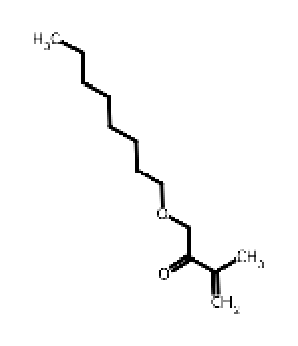 C=C(C)C(=O)COCCCCCCCC